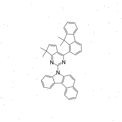 CC1(C)C=Cc2c(-c3cccc4c3C(C)(C)c3ccccc3-4)nc(-n3c4ccccc4c4c5ccccc5ccc43)nc21